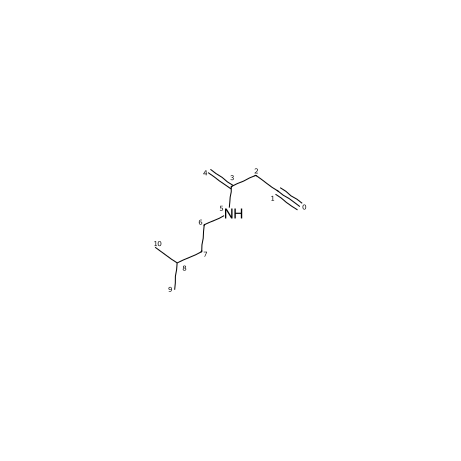 C#CCC(=C)NCCC(C)C